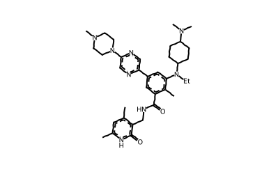 CCN(c1cc(-c2cnc(N3CCN(C)CC3)cn2)cc(C(=O)NCc2c(C)cc(C)[nH]c2=O)c1C)C1CCC(N(C)C)CC1